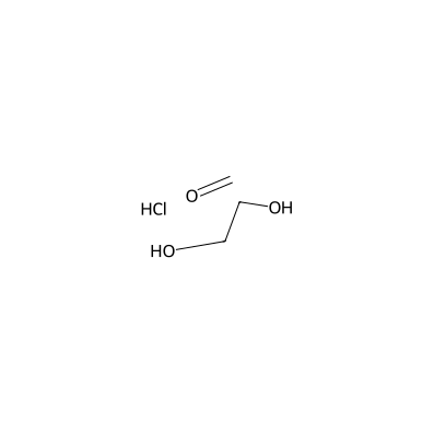 C=O.Cl.OCCO